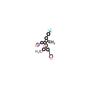 CCC1(CC)c2cc(-c3ccc(C(F)(F)F)cc3)ccc2-c2c1c1c(c3cc(N4CCOCC4)ccc23)OC(c2ccc(CCC3CCCOCC3)cc2)(c2ccc(OC)cc2)C=C1